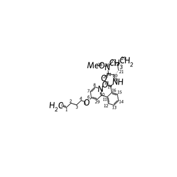 C=CCCCOc1ccnc(-c2ccccc2C(=O)N[C@@H](CC=C)C(=O)N(C)OC)c1